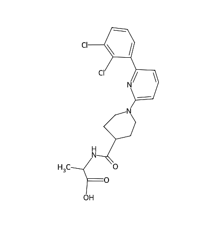 CC(NC(=O)C1CCN(c2cccc(-c3cccc(Cl)c3Cl)n2)CC1)C(=O)O